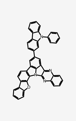 c1ccc(-n2c3ccccc3c3ccc(-c4cc5c6ccc7c8ccccc8oc7c6n6c7nc8ccccc8nc7c(c4)c56)cc32)cc1